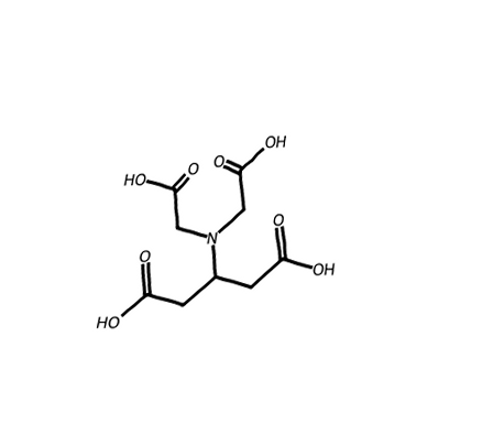 O=C(O)CC(CC(=O)O)N(CC(=O)O)CC(=O)O